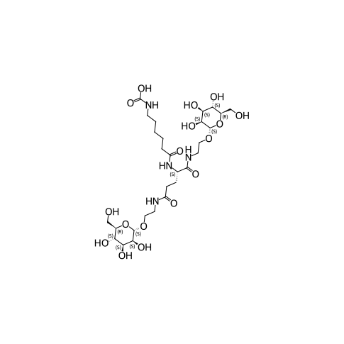 O=C(O)NCCCCCC(=O)N[C@@H](CCC(=O)NCCO[C@H]1O[C@H](CO)[C@@H](O)[C@H](O)[C@@H]1O)C(=O)NCCO[C@H]1O[C@H](CO)[C@@H](O)[C@H](O)[C@@H]1O